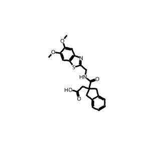 COc1cc2nc(CNC(=O)C3(CC(=O)O)Cc4ccccc4C3)sc2cc1OC